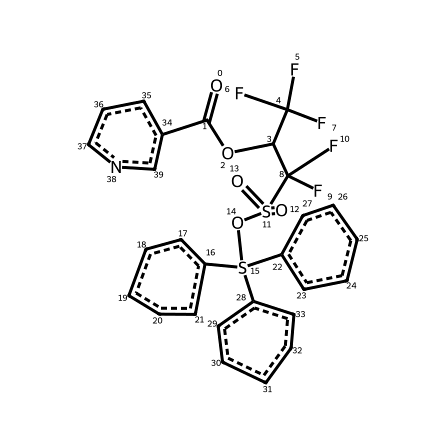 O=C(OC(C(F)(F)F)C(F)(F)S(=O)(=O)OS(c1ccccc1)(c1ccccc1)c1ccccc1)c1cccnc1